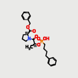 C[C@H](OP(=O)(O)CCCCc1ccccc1)C(=O)N1CCC[C@H]1C(=O)OCc1ccccc1